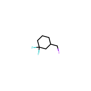 FC1(F)CCCC(CI)C1